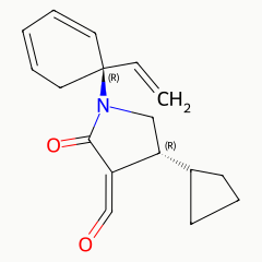 C=C[C@@]1(N2C[C@H](C3CCC3)C(=C=O)C2=O)C=CC=CC1